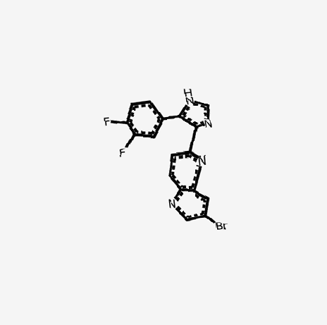 Fc1ccc(-c2[nH]cnc2-c2ccc3ncc(Br)cc3n2)cc1F